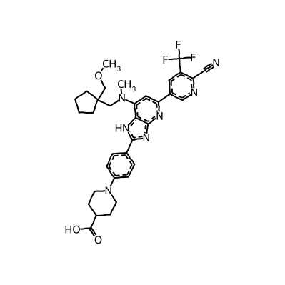 COCC1(CN(C)c2cc(-c3cnc(C#N)c(C(F)(F)F)c3)nc3nc(-c4ccc(N5CCC(C(=O)O)CC5)cc4)[nH]c23)CCCC1